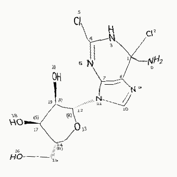 NC1(Cl)NC(Cl)=Nc2c1ncn2[C@@H]1O[C@H](CO)[C@@H](O)[C@H]1O